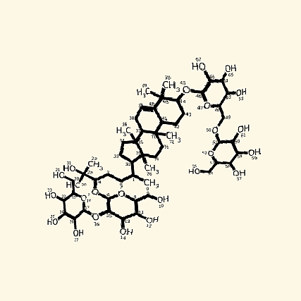 CC(CCC(OC1OC(CO)C(O)C(O)C1OC1OC(CO)C(O)C(O)C1O)C(C)(C)O)C1CCC2(C)C3CC=C4C(CCC(OC5OC(COC6OC(CO)C(O)C(O)C6O)C(O)C(O)C5O)C4(C)C)C3(C)CCC12C